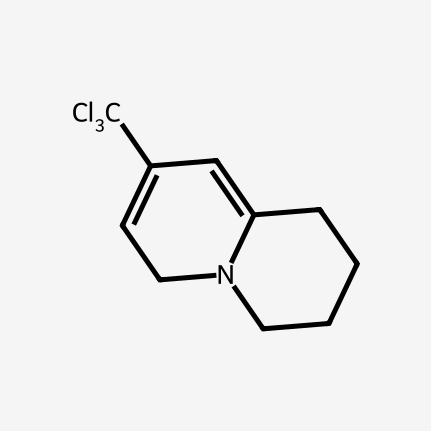 ClC(Cl)(Cl)C1=CCN2CCCCC2=C1